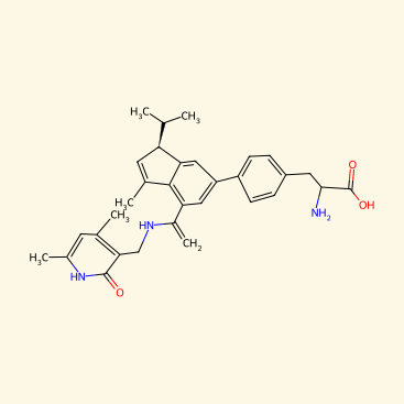 C=C(NCc1c(C)cc(C)[nH]c1=O)c1cc(-c2ccc(CC(N)C(=O)O)cc2)cc2c1C(C)=C[C@H]2C(C)C